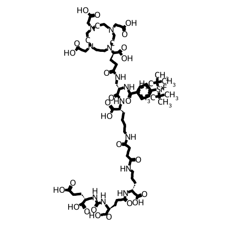 CC(C)(C)[Si](F)(c1ccc(C(=O)N[C@@H](CNC(=O)CC[C@H](C(=O)O)N2CCN(CC(=O)O)CCN(CC(=O)O)CCN(CC(=O)O)CC2)C(=O)N[C@H](CCCCNC(=O)CCC(=O)NCCC[C@@H](NC(=O)CC[C@H](NC(=O)N[C@@H](CCC(=O)O)C(=O)O)C(=O)O)C(=O)O)C(=O)O)cc1)C(C)(C)C